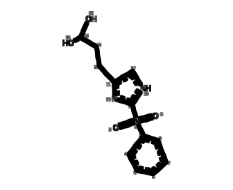 O=S(=O)(c1ccccc1)c1nc(CCC(O)O)c[nH]1